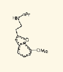 CCCNCCc1cc2cccc(OC)c2o1